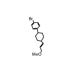 COC/C=C/C1CCC(c2ccc(Br)cc2)CC1